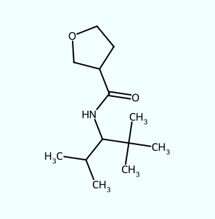 CC(C)C(NC(=O)C1CCOC1)C(C)(C)C